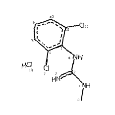 CNC(=N)Nc1c(Cl)cccc1Cl.Cl